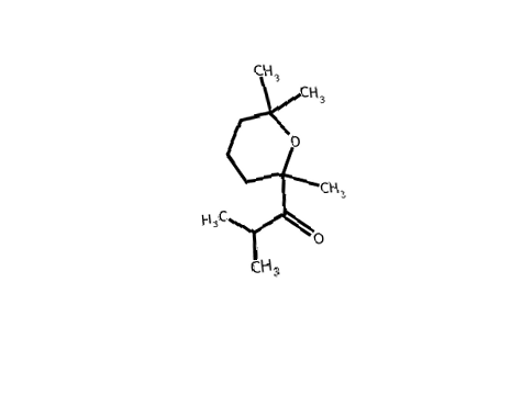 CC(C)C(=O)C1(C)CCCC(C)(C)O1